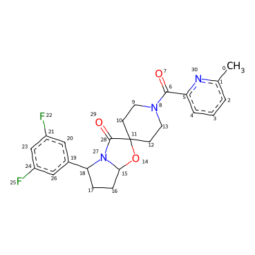 Cc1cccc(C(=O)N2CCC3(CC2)OC2CCC(c4cc(F)cc(F)c4)N2C3=O)n1